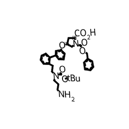 CC(C)(C)OC(=O)N(CCCN)CCc1ccccc1-c1cccc(O[C@H]2C[C@@H](C(=O)O)N(C(=O)OCc3ccccc3)C2)c1